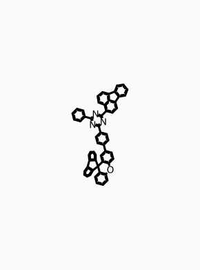 c1ccc(-c2nc(-c3ccc(-c4ccc5c(c4)C4(c6ccccc6O5)c5ccccc5-c5ccccc54)cc3)nc(-c3ccc4c5c(cccc35)-c3ccccc3-4)n2)cc1